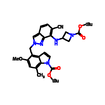 COc1cc(C)c2c(ccn2C(=O)OC(C)(C)C)c1Cn1cc2ccc(C#N)c(NC3CN(C(=O)OC(C)(C)C)C3)c2n1